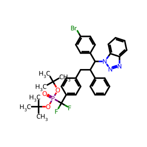 CC(C)(C)OP(=O)(OC(C)(C)C)C(F)(F)c1ccc(CC(c2ccccc2)C(c2ccc(Br)cc2)n2nnc3ccccc32)cc1